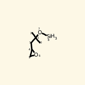 CC(C)(CC1CO1)O[SiH3]